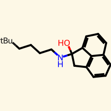 CC(C)(C)CCCCNC1(O)Cc2cccc3cccc1c23